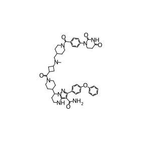 CN(CC1CCN(C(=O)c2ccc(N3CCC(=O)NC3=O)cc2)CC1)C1CC(C(=O)N2CCC(C3CCNc4c(C(N)=O)c(-c5ccc(Oc6ccccc6)cc5)nn43)CC2)C1